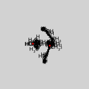 CC1=C(C(=O)OCCCCCCNCC(O)COc2ccccc2)C(c2ccccc2C(F)(F)F)C(C(=O)OC(C)CCCCCNCC(O)COc2ccccc2)=C(C)N1C.COc1cccc(C2C(C(=O)O)=C(C)NC(C)=C2C(=O)O)c1.Cl.Cl